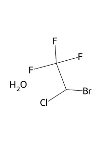 FC(F)(F)C(Cl)Br.O